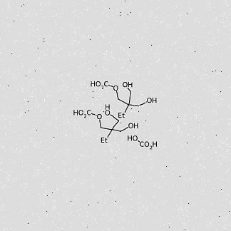 CCC(CO)(CO)COC(=O)O.CCC(CO)(CO)COC(=O)O.O=C(O)O